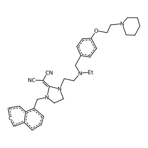 CCN(CCN1CCN(Cc2cccc3ccccc23)C1=C(C#N)C#N)Cc1ccc(OCCN2CCCCC2)cc1